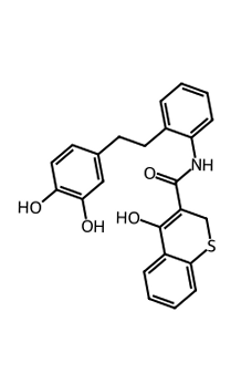 O=C(Nc1ccccc1CCc1ccc(O)c(O)c1)C1=C(O)c2ccccc2SC1